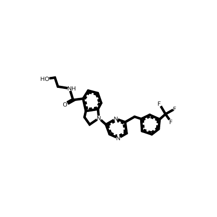 O=C(NCCO)c1cccc2c1CCN2c1cncc(Cc2cccc(C(F)(F)F)c2)n1